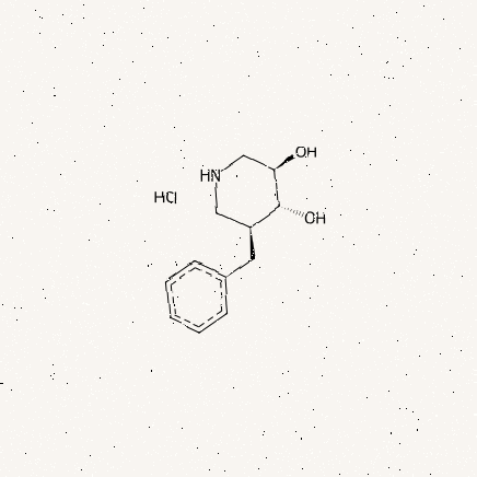 Cl.O[C@@H]1[C@@H](Cc2ccccc2)CNC[C@H]1O